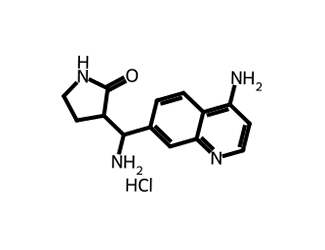 Cl.Nc1ccnc2cc(C(N)C3CCNC3=O)ccc12